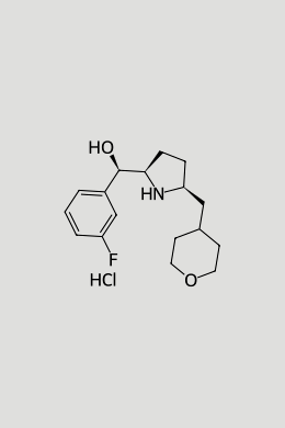 Cl.O[C@H](c1cccc(F)c1)[C@H]1CC[C@@H](CC2CCOCC2)N1